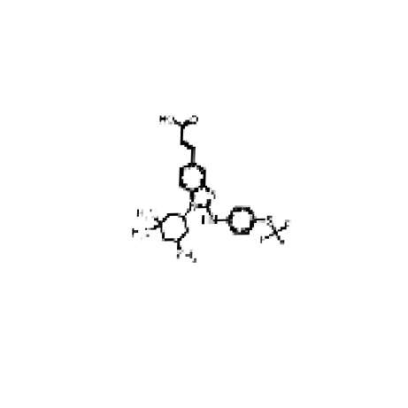 CC1C[C@H](n2c(Nc3ccc(SC(F)(F)F)cc3)nc3cc(/C=C/C(=O)O)ccc32)CC(C)(C)C1